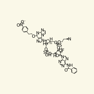 N#CCCOP1(=S)OC[C@H]2C[C@@H](n3cnc4c(OCCc5ccc([N+](=O)[O-])cc5)nc5nccn5c43)[C@@H]2COP(O)(=S)OC[C@H]2O[C@@H](n3cnc4c(NC(=O)c5ccccc5)ncnc43)[C@H](F)[C@@H]2O1